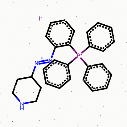 [I-].c1ccc([P+](c2ccccc2)(c2ccccc2)c2ccccc2/N=N/C2CCNCC2)cc1